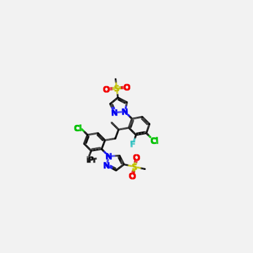 CC(C)c1cc(Cl)cc(CC(C)c2c(-n3cc(S(C)(=O)=O)cn3)ccc(Cl)c2F)c1-n1cc(S(C)(=O)=O)cn1